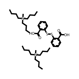 CCCC[N+](C)(CCCC)CCCC.CCCC[N+](C)(CCCC)CCCC.O=C(O)c1ccccc1SSc1ccccc1C(=O)O